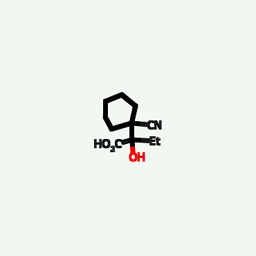 CCC(O)(C(=O)O)C1(C#N)CCCCC1